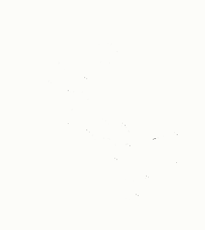 COc1ccc(CN(Cc2ccc(OC)cc2)c2cc(-c3nc4c5c(nc(OC[C@@]67CCCN6C[C@H](F)C7)nc5c3F)N(C(C)c3cccnc3N)CCO4)c(C(F)(F)F)c(C)n2)cc1